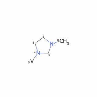 CN1CC[N]([V])C1